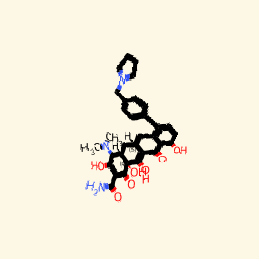 CN(C)C1C(O)=C(C(N)=O)C(=O)[C@]2(O)C(O)=C3C(=O)c4c(O)ccc(-c5ccc(CN6CCCC6)cc5)c4C[C@@H]3C[C@H]12